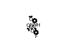 CC(C)Oc1cccc(Nc2nc(=O)n(C(C)C)c(=O)n2Cc2ccc(F)cc2)c1